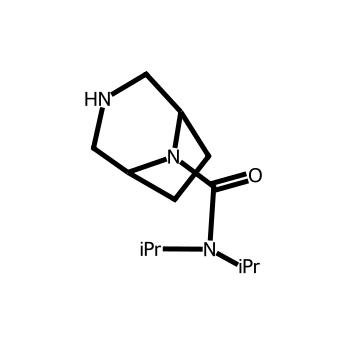 CC(C)N(C(=O)N1C2CCC1CNC2)C(C)C